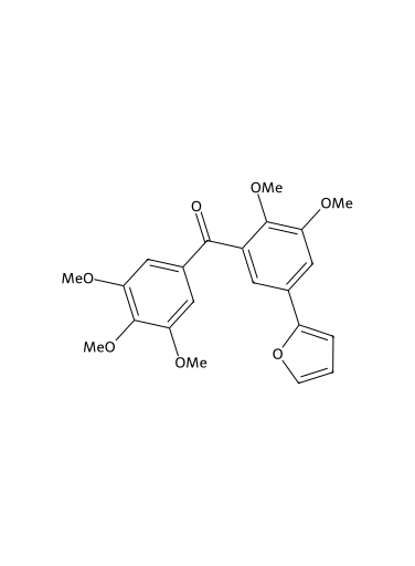 COc1cc(C(=O)c2cc(-c3ccco3)cc(OC)c2OC)cc(OC)c1OC